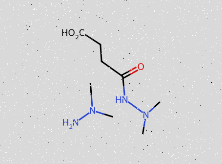 CN(C)N.CN(C)NC(=O)CCC(=O)O